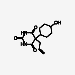 C=CCC1(C2CCC(O)CC2)C(=O)NC(=O)NC1=O